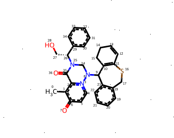 Cc1c2n(ccc1=O)N(C1C3=C(C=CCC3)SCc3ccccc31)CN([C@H](CO)c1ccccc1)C2=O